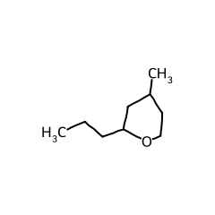 CCCC1CC(C)CCO1